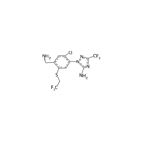 NCc1cc(Cl)c(-n2nc(C(F)(F)F)nc2N)cc1SCC(F)(F)F